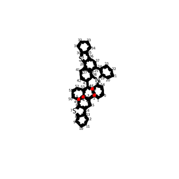 c1cc(-c2ccc3sc4ccccc4c3c2)cc(N(c2ccccc2-c2ccc3sc4ccccc4c3c2)c2ccccc2-c2cccc3ccccc23)c1